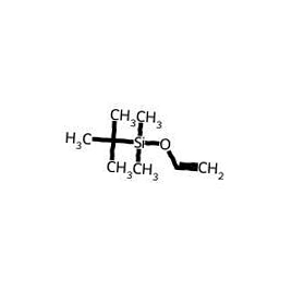 C=CO[Si](C)(C)C(C)(C)C